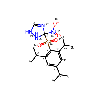 CC(C)c1cc(C(C)C)c(S(=O)(=O)C2([N+](=O)[O-])N=CNN2)c(C(C)C)c1